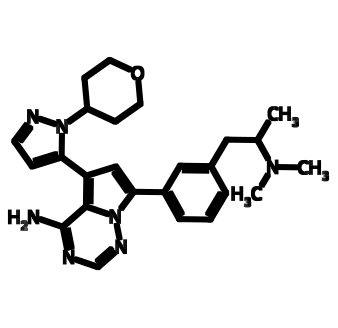 CC(Cc1cccc(-c2cc(-c3ccnn3C3CCOCC3)c3c(N)ncnn23)c1)N(C)C